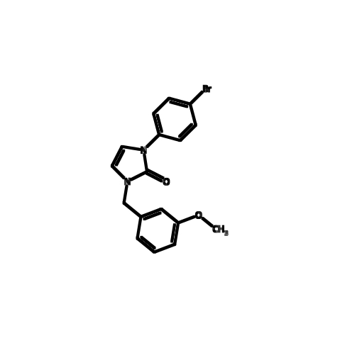 COc1cccc(Cn2ccn(-c3ccc(Br)cc3)c2=O)c1